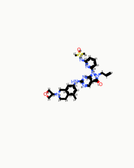 C=CCn1c(=O)c2cnc(Nc3cc(C)c4c(c3)CN(C3COC3)CC4)nc2n1-c1cccc(N=S(C)(C)=O)n1